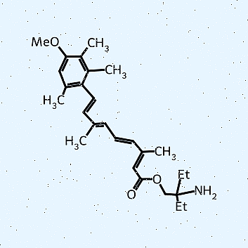 CCC(N)(CC)COC(=O)C=C(C)C=CC=C(C)C=Cc1c(C)cc(OC)c(C)c1C